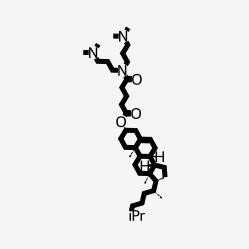 CC(C)CCC[C@@H](C)[C@H]1CC[C@H]2[C@@H]3CC=C4C[C@@H](OC(=O)CCCC(=O)N(CCCN(C)C)CCCN(C)C)CC[C@]4(C)C3CC[C@]12C